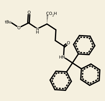 CC(C)(C)OC(=O)N[C@@H](CCC(=O)NC(c1ccccc1)(c1ccccc1)c1ccccc1)C(=O)O